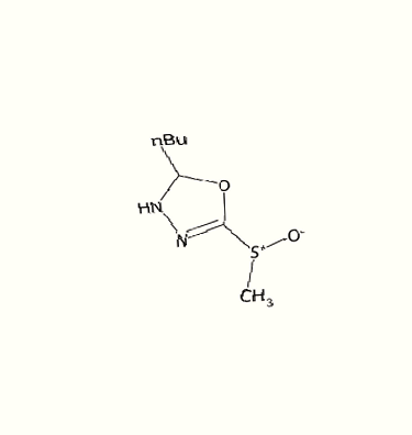 CCCCC1NN=C([S+](C)[O-])O1